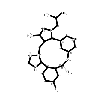 CC(C)CN1NC(C)C2CN3NCNC3C3CCC(F)CC3[C@@H](C)OC3CNCC(C3)C21